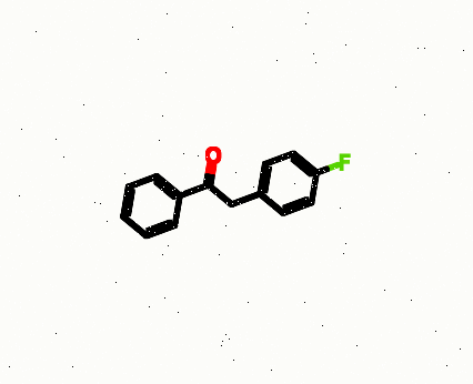 O=C(Cc1ccc(F)cc1)c1ccccc1